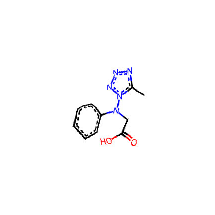 Cc1nnnn1N(CC(=O)O)c1ccccc1